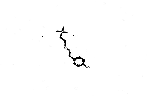 C[N+](C)(C)CCOOCc1ccc(O)cc1